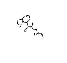 O=CNCCNC(=O)c1cccc2c1OCC2